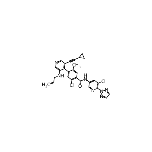 C=CCNc1cncc(C#CC2CC2)c1-c1cc(Cl)c(C(=O)Nc2cnc(-n3nccn3)c(Cl)c2)cc1C